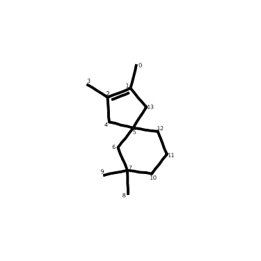 CC1=C(C)CC2([CH]C(C)(C)CCC2)C1